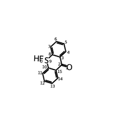 F.O=c1c2ccccc2sc2ccccc12